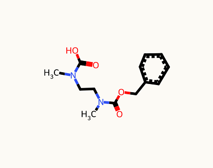 CN(CCN(C)C(=O)OCc1ccccc1)C(=O)O